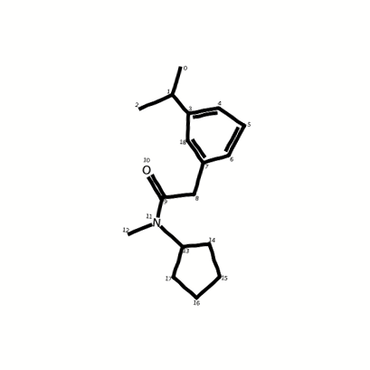 CC(C)c1cccc(CC(=O)N(C)C2CCCC2)c1